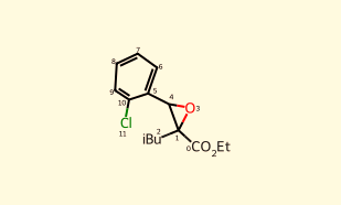 CCOC(=O)C1(C(C)CC)OC1c1ccccc1Cl